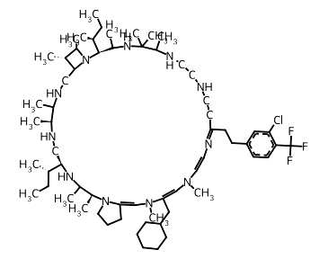 CC[C@H](C)[C@H]1C(C)NC(C)(C)C(C)NCCNCCC(CCc2ccc(C(F)(F)F)c(Cl)c2)=NC=CN(C)C=C(CC2CCCCC2)N(C)C=C2CCCN2[C@@H](C)C(C)N[C@@H]([C@@H](C)CC)CN[C@@H](C)C(C)NCC2[C@H](C)C(C)N21